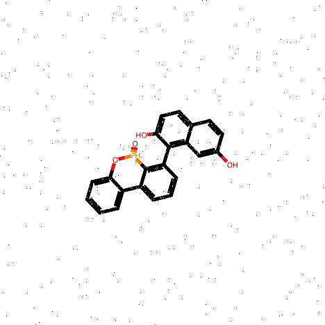 O=[PH]1Oc2ccccc2-c2cccc(-c3c(O)ccc4ccc(O)cc34)c21